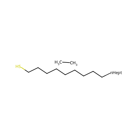 CC.CCCCCCCCCCCCCCCCS